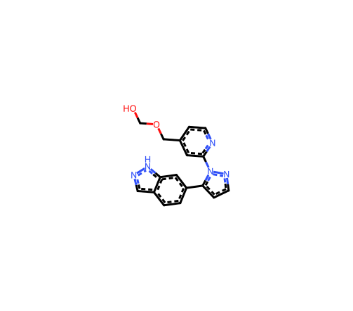 OCOCc1ccnc(-n2nccc2-c2ccc3cn[nH]c3c2)c1